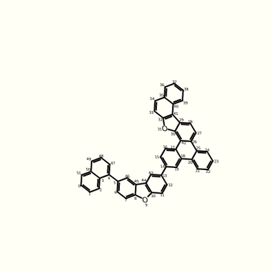 c1ccc2c(-c3ccc4oc5ccc(-c6ccc7c(c6)c6ccccc6c6ccc8c(oc9ccc%10ccccc%10c98)c67)cc5c4c3)cccc2c1